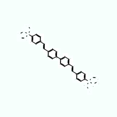 CCO[Si](OCC)(OCC)c1ccc(C=Cc2ccc(-c3ccc(C=Cc4ccc([Si](OCC)(OCC)OCC)cc4)cc3)cc2)cc1